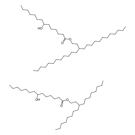 CCCCCCCCC(CCCCCCCC)CCOC(=O)CCCCCC(O)CCCCCCC.CCCCCCCCCCCCC(CCCCCCCCCCCC)CCOC(=O)CCCCCC(O)CCCCCCC